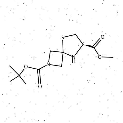 COC(=O)[C@@H]1CSC2(CN(C(=O)OC(C)(C)C)C2)N1